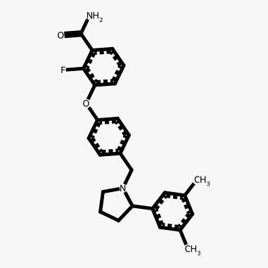 Cc1cc(C)cc(C2CCCN2Cc2ccc(Oc3cccc(C(N)=O)c3F)cc2)c1